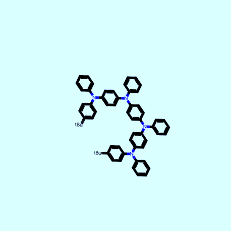 CC(C)(C)c1ccc(N(c2ccccc2)c2ccc(N(c3ccccc3)c3ccc(N(c4ccccc4)c4ccc(N(c5ccccc5)c5ccc(C(C)(C)C)cc5)cc4)cc3)cc2)cc1